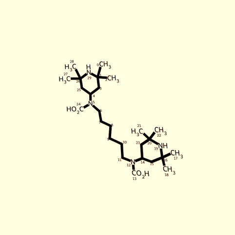 CC1(C)CC(N(CCCCCCN(C(=O)O)C2CC(C)(C)NC(C)(C)C2)C(=O)O)CC(C)(C)N1